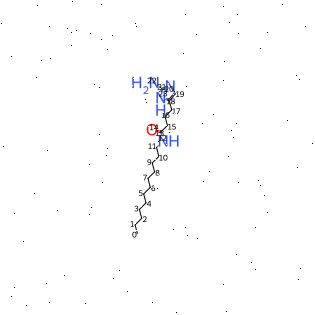 CCCCCCCCCCCCNC(=O)CCCc1cnc(N)[nH]1